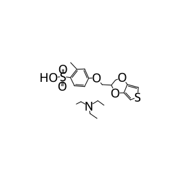 CCN(CC)CC.Cc1cc(OCC2COc3cscc3O2)ccc1S(=O)(=O)O